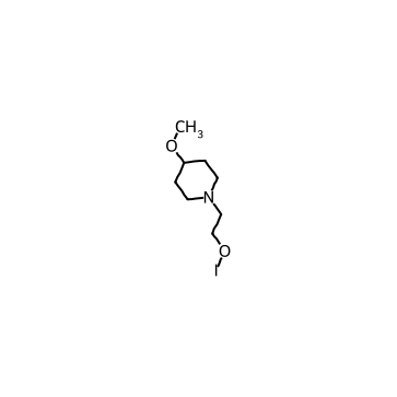 COC1CCN(CCOI)CC1